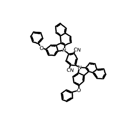 N#Cc1cc(-n2c3ccc(Oc4ccccc4)cc3c3c4ccccc4ccc32)c(C#N)cc1-n1c2ccc(Oc3ccccc3)cc2c2c3ccccc3ccc21